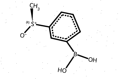 C[S@+]([O-])c1cccc(B(O)O)c1